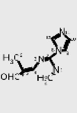 C=N/C(=N\C=C(/C)C=O)n1ccnc1